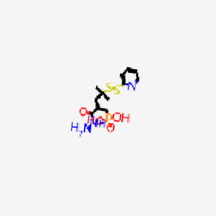 CC(C)(CC(CP(=O)(O)O)C(=O)NN)SSc1ccccn1